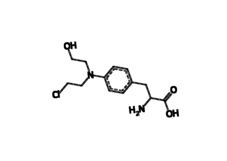 NC(Cc1ccc(N(CCO)CCCl)cc1)C(=O)O